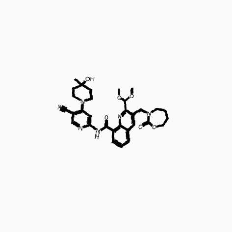 COC(OC)c1nc2c(C(=O)Nc3cc(N4CCC(C)(O)CC4)c(C#N)cn3)cccc2cc1CN1CCCCOC1=O